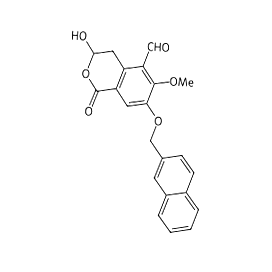 COc1c(OCc2ccc3ccccc3c2)cc2c(c1C=O)CC(O)OC2=O